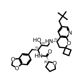 CC(C)(C)Cc1cnc2c(c1)[C@@H](NC[C@H](O)[C@H](Cc1ccc3c(c1)OCO3)NC(=O)[C@H]1CCCO1)CC1(CCC1)O2